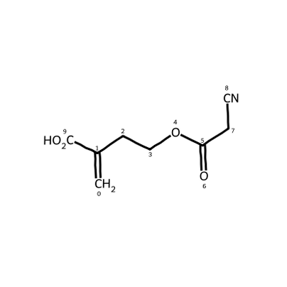 C=C(CCOC(=O)CC#N)C(=O)O